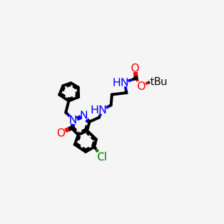 CC(C)(C)OC(=O)NCCCNCc1nn(Cc2ccccc2)c(=O)c2ccc(Cl)cc12